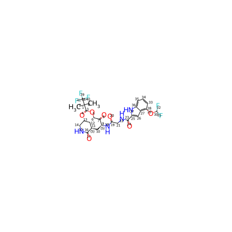 CC(C)(C(=O)OCC(=O)[C@H](C[C@@H]1CCCNC1=O)NC(=O)CNC(=O)c1cc2c(OC(F)F)cccc2[nH]1)C(F)(F)F